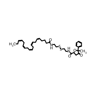 CC/C=C\C/C=C\C/C=C\C/C=C\C/C=C\CCCC(=O)NCCSSCCNC(=O)C1CC(=O)C(C)(c2ccccc2)O1